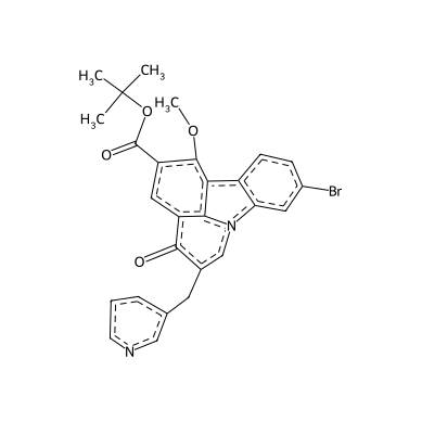 COc1c(C(=O)OC(C)(C)C)cc2c(=O)c(Cc3cccnc3)cn3c4cc(Br)ccc4c1c23